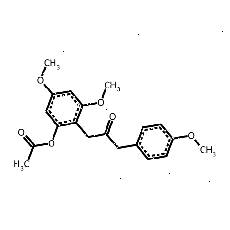 COc1ccc(CC(=O)Cc2c(OC)cc(OC)cc2OC(C)=O)cc1